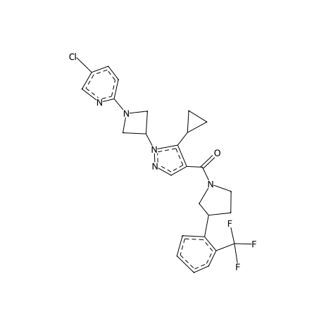 O=C(c1cnn(C2CN(c3ccc(Cl)cn3)C2)c1C1CC1)N1CCC(c2ccccc2C(F)(F)F)C1